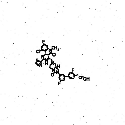 COC(=O)C1=C(CN2CCN3C(=O)N(c4cc(F)cc(-c5ccc(COCO)c(F)c5)c4)C[C@@H]3C2)NC(c2nccs2)=N[C@H]1c1ccc(F)cc1Cl